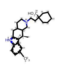 C[C@H]1c2c([nH]c3ccc(C(F)(F)F)cc23)CC2CCN(CCC3(C(=O)O)CCCCC3)CC21